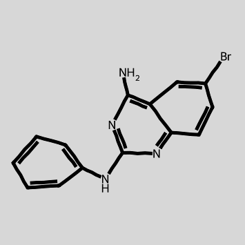 Nc1nc(Nc2ccccc2)nc2ccc(Br)cc12